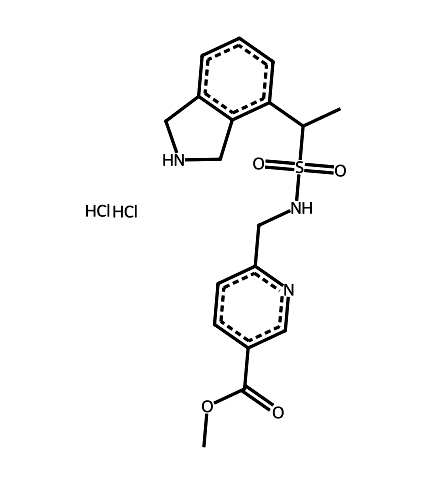 COC(=O)c1ccc(CNS(=O)(=O)C(C)c2cccc3c2CNC3)nc1.Cl.Cl